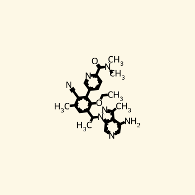 CCOc1c(C(C)n2nc(C)c3c(N)cncc32)cc(C)c(C#N)c1-c1ccc(C(=O)N(C)C)nc1